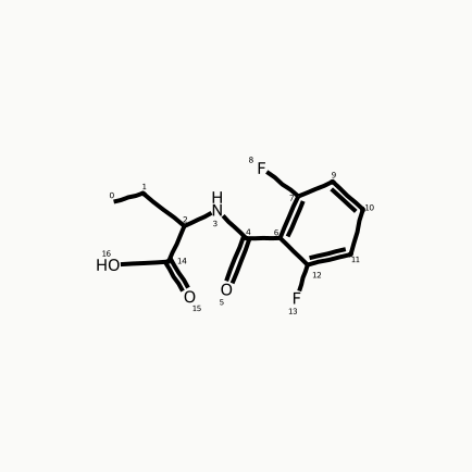 CCC(NC(=O)c1c(F)cccc1F)C(=O)O